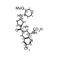 CO[C@@H]1COCC[C@@H]1N[C@@H]1CC[C@@](C(=O)N2Cc3cc(C(F)(F)F)cnc3[C@H](NC(=O)O)C2)(C(C)C)C1